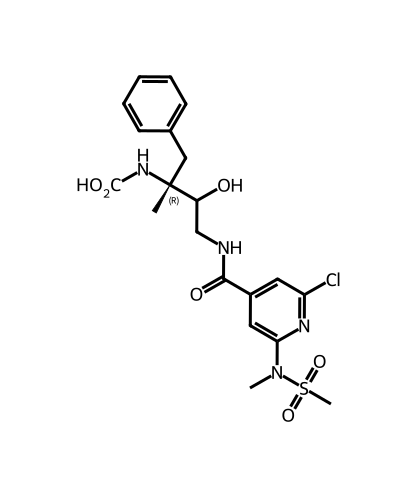 CN(c1cc(C(=O)NCC(O)[C@@](C)(Cc2ccccc2)NC(=O)O)cc(Cl)n1)S(C)(=O)=O